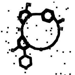 N#Cc1cnc2nc1-c1ccc(cc1)C(=O)NCCCCOCc1cc(cc(Cl)c1N1CCOCC1)N2